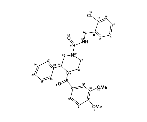 COc1ccc(C(=O)N2CCN(C(=O)NCc3ccccc3Cl)CC2c2ccccc2)cc1OC